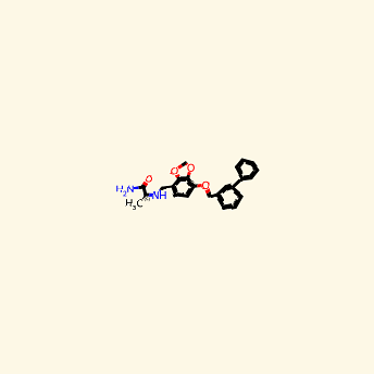 C[C@H](NCc1ccc(OCc2cccc(-c3ccccc3)c2)c2c1OCO2)C(N)=O